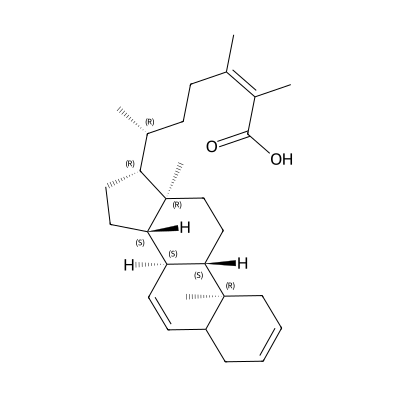 CC(CC[C@@H](C)[C@H]1CC[C@H]2[C@@H]3C=CC4CC=CC[C@]4(C)[C@H]3CC[C@]12C)=C(C)C(=O)O